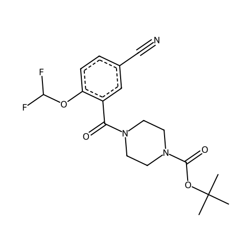 CC(C)(C)OC(=O)N1CCN(C(=O)c2cc(C#N)ccc2OC(F)F)CC1